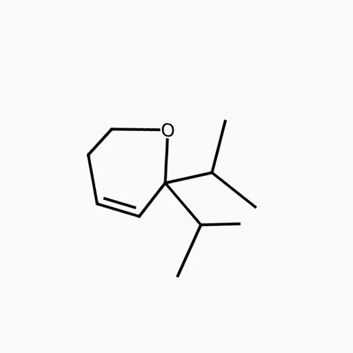 CC(C)C1(C(C)C)C=CCCO1